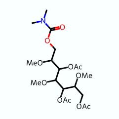 COC(COC(C)=O)C(OC(C)=O)C(OC)C(OC(C)=O)C(COC(=O)N(C)C)OC